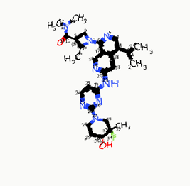 CC(C)c1cnc(N2C[C@H](C(=O)N(C)C)[C@H]2C)c2cnc(Nc3ccnc(N4CC[C@@H](O)[C@@](C)(F)C4)n3)cc12